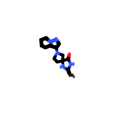 C=C1NC(=O)C2(CCN(c3cnn4ccccc34)C2)N1